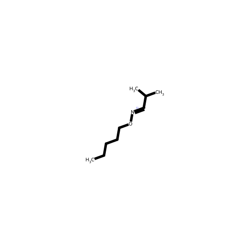 CCCCCO/N=[C]/C(C)C